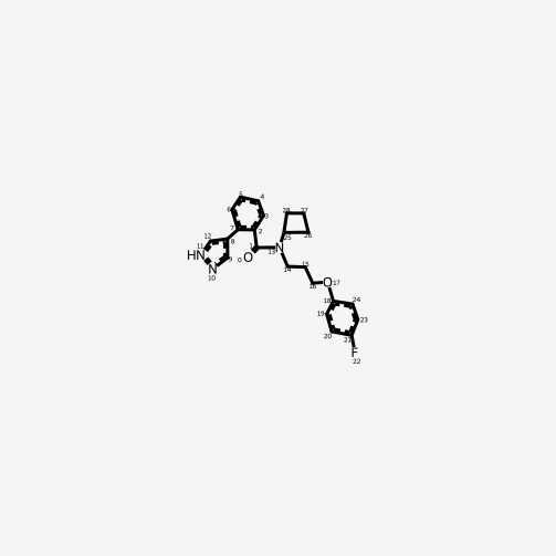 O=C(c1ccccc1-c1cn[nH]c1)N(CCCOc1ccc(F)cc1)C1CCC1